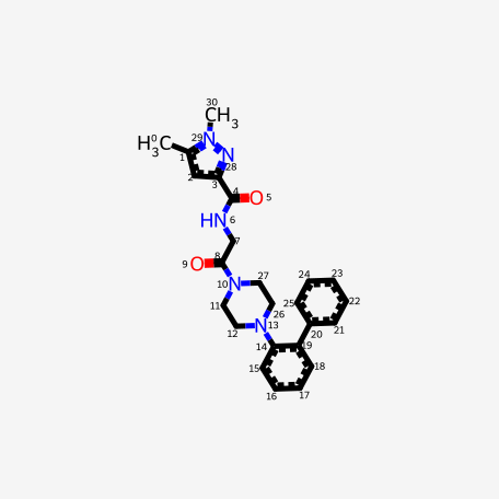 Cc1cc(C(=O)NCC(=O)N2CCN(c3ccccc3-c3ccccc3)CC2)nn1C